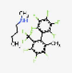 CCCCNC.Cc1c(F)c(F)c(F)c(C(F)(F)F)c1-c1c(F)c(F)c(F)c(F)c1F